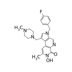 Cc1cc2c(ncc3c2c(CN2CCN(C)CC2)cn3Cc2ccc(F)cc2)c(=O)n1O